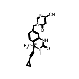 N#Cc1cc(=O)n(Cc2ccc3c(c2)NC(=O)N[C@]3(C#CC2CC2)C(F)(F)F)cn1